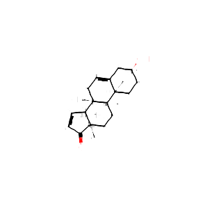 C[C@]12CC[C@H](O)CC1=CC[C@@H]1[C@@H]2CC[C@]2(C)C(=O)C=C[C@@H]12